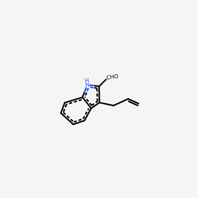 C=CCc1c(C=O)[nH]c2ccccc12